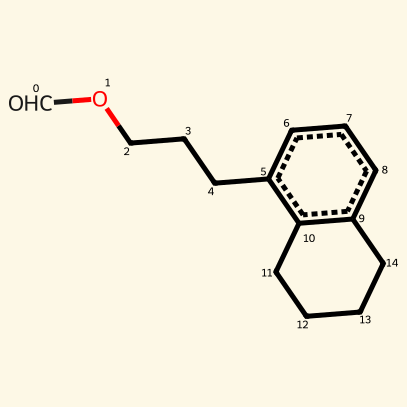 O=COCCCc1cccc2c1CCCC2